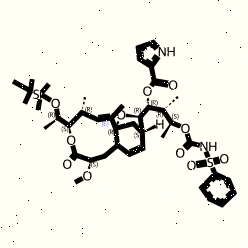 CO[C@H]1CC2C=C[C@@H]3C[C@]2(O[C@H]3[C@H](OC(=O)c2ccc[nH]2)[C@H](C)[C@H](C)OC(=O)NS(=O)(=O)c2ccccc2)/C(C)=C/[C@@H](C)[C@@H]([C@@H](C)O[Si](C)(C)C(C)(C)C)OC1=O